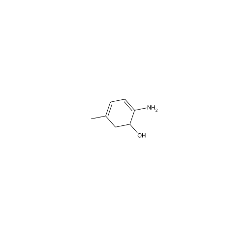 CC1=CC=C(N)C(O)C1